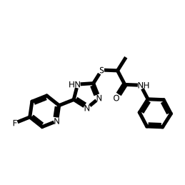 CC(Sc1nnc(-c2ccc(F)cn2)[nH]1)C(=O)Nc1ccccc1